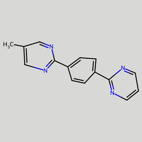 Cc1cnc(-c2ccc(-c3ncccn3)cc2)nc1